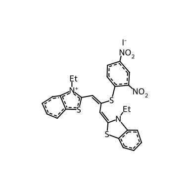 CCN1C(=CC(=Cc2sc3ccccc3[n+]2CC)Sc2ccc([N+](=O)[O-])cc2[N+](=O)[O-])Sc2ccccc21.[I-]